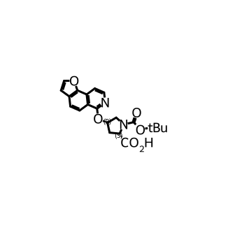 CC(C)(C)OC(=O)N1C[C@H](Oc2nccc3c2ccc2ccoc23)C[C@H]1C(=O)O